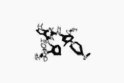 Cc1cc(Nc2nc3c(c(Nc4ccccc4S(=O)(=O)C(C)C)n2)CCN3)c(OC(C)C)cc1N1CCC(N(C)C)CC1